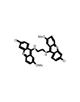 COc1ccc2nc3cc(Cl)ccc3c(NCCNc3c4ccc(Cl)cc4nc4ccc(OC)cc34)c2c1